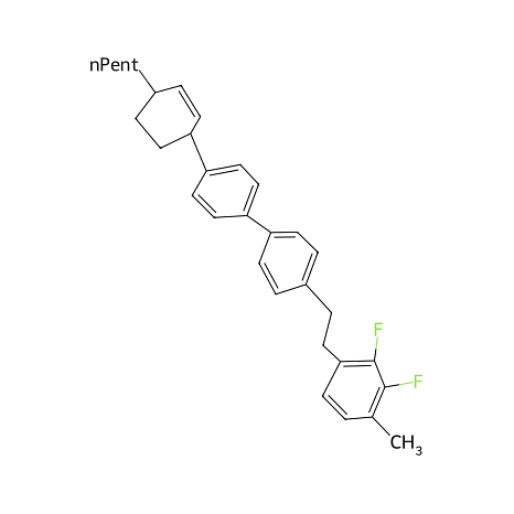 CCCCCC1C=CC(c2ccc(-c3ccc(CCc4ccc(C)c(F)c4F)cc3)cc2)CC1